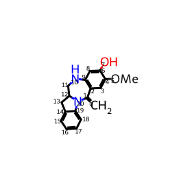 C=C1c2cc(OC)c(O)cc2NCC2Cc3ccccc3N12